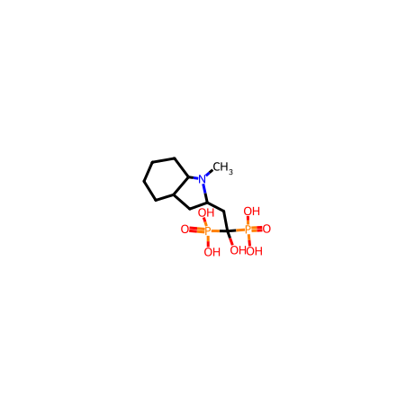 CN1C(CC(O)(P(=O)(O)O)P(=O)(O)O)CC2CCCCC21